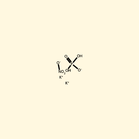 O=P([O-])(O)O.O=[N+]([O-])[O-].[K+].[K+]